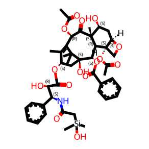 CC(=O)O[C@H]1C(=O)[C@@]2(C)[C@H]([C@H](OC(=O)c3ccccc3)[C@]3(O)C[C@H](OC(=O)[C@H](O)[C@@H](NC(=O)C[Si](C)(C)O)c4ccccc4)C(C)=C1C3(C)C)[C@]1(OC(C)=O)CO[C@@H]1C[C@@H]2O